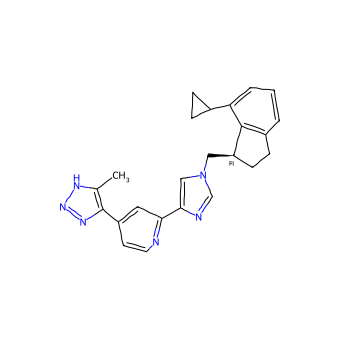 Cc1[nH]nnc1-c1ccnc(-c2cn(C[C@@H]3CCc4cccc(C5CC5)c43)cn2)c1